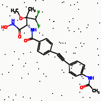 COC(C)(C(F)F)[C@H](NC(=O)c1ccc(C#Cc2ccc(NC(C)=O)cc2)cc1)C(=O)NO